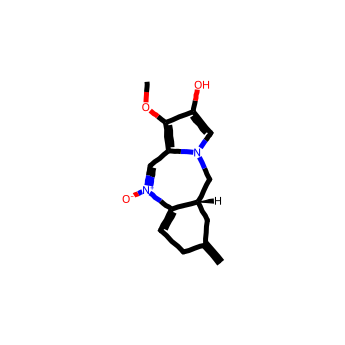 C=C1CC=C2[C@@H](C1)Cn1cc(O)c(OC)c1C=[N+]2[O-]